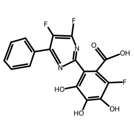 O=C(O)c1c(F)c(O)c(O)c(O)c1-c1nc(F)c(F)c(-c2ccccc2)n1